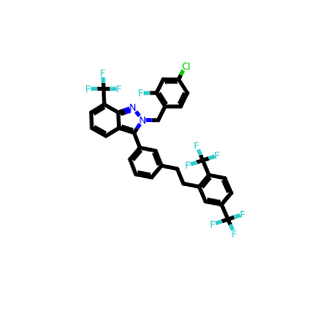 Fc1cc(Cl)ccc1Cn1nc2c(C(F)(F)F)cccc2c1-c1cccc(CCc2cc(C(F)(F)F)ccc2C(F)(F)F)c1